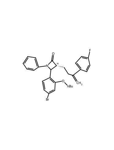 C=C(CC[C@H]1C(=O)N(c2ccccc2)C1c1ccc(Br)cc1OCCCC)c1ccc(F)cc1